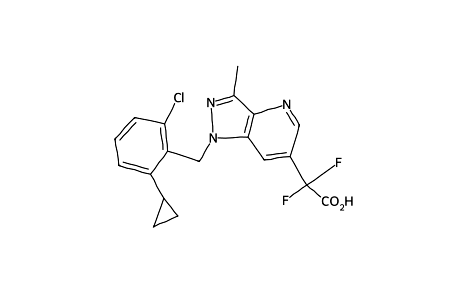 Cc1nn(Cc2c(Cl)cccc2C2CC2)c2cc(C(F)(F)C(=O)O)cnc12